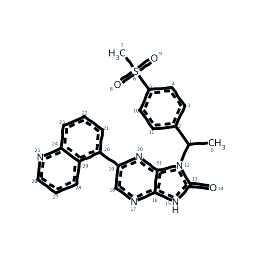 CC(c1ccc(S(C)(=O)=O)cc1)n1c(=O)[nH]c2ncc(-c3cccc4ncccc34)nc21